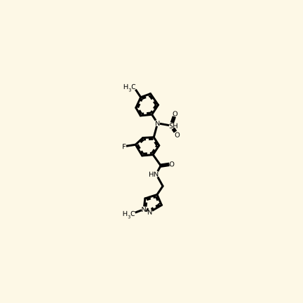 Cc1ccc(N(c2cc(F)cc(C(=O)NCc3cnn(C)c3)c2)[SH](=O)=O)cc1